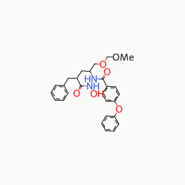 COCOCC(CC(Cc1ccccc1)C(=O)NO)NC(=O)c1ccc(Oc2ccccc2)cc1